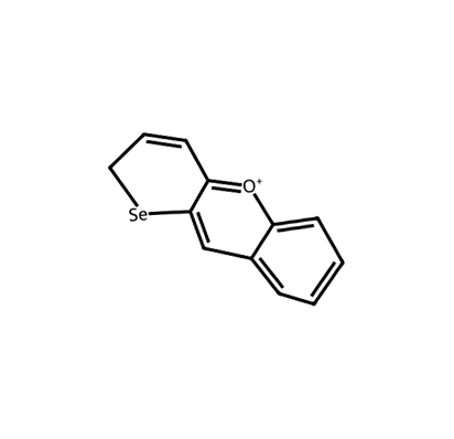 C1=Cc2[o+]c3ccccc3cc2[Se]C1